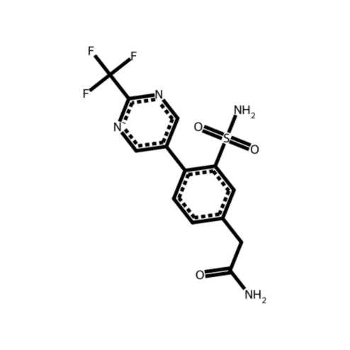 NC(=O)Cc1ccc(-c2cnc(C(F)(F)F)nc2)c(S(N)(=O)=O)c1